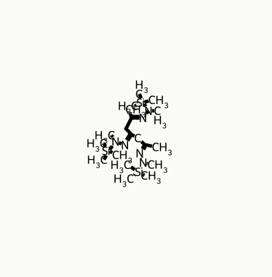 CC(CC(CC(C)=NN(C)[Si](C)(C)C)=NN(C)[Si](C)(C)C)=NN(C)[Si](C)(C)C